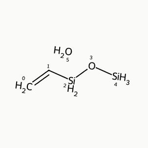 C=C[SiH2]O[SiH3].O